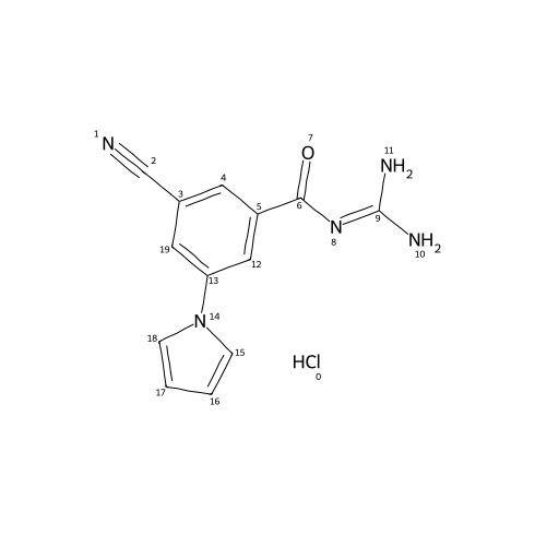 Cl.N#Cc1cc(C(=O)N=C(N)N)cc(-n2cccc2)c1